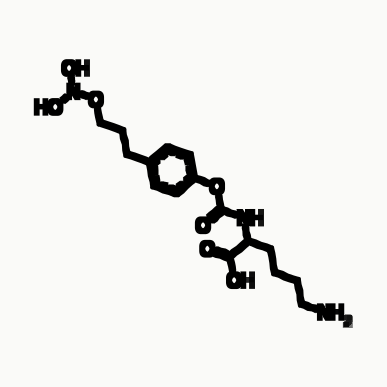 NCCCCC(NC(=O)Oc1ccc(CCCON(O)O)cc1)C(=O)O